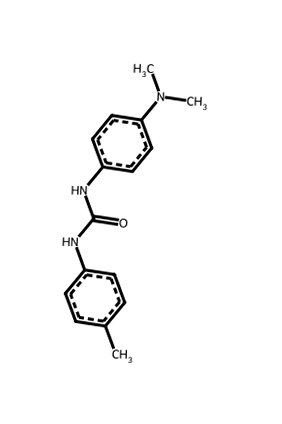 Cc1ccc(NC(=O)Nc2ccc(N(C)C)cc2)cc1